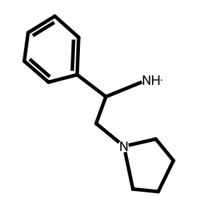 [NH]C(CN1CCCC1)c1ccccc1